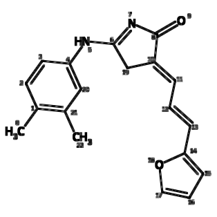 Cc1ccc(NC2=NC(=O)/C(=C/C=C/c3ccco3)C2)cc1C